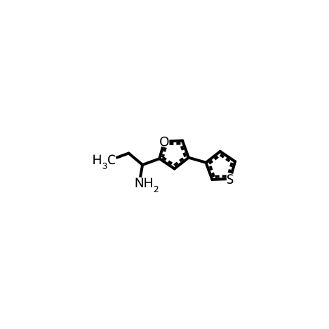 CCC(N)c1cc(-c2ccsc2)co1